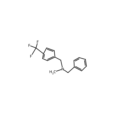 CN(Cc1ccccc1)Cc1ccc(C(F)(F)F)cc1